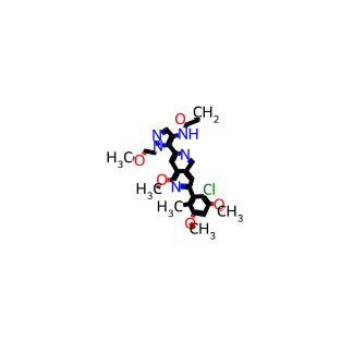 C=CC(=O)Nc1cnn(CCOC)c1-c1cc2c(OC)nc(-c3c(C)c(OC)cc(OC)c3Cl)cc2cn1